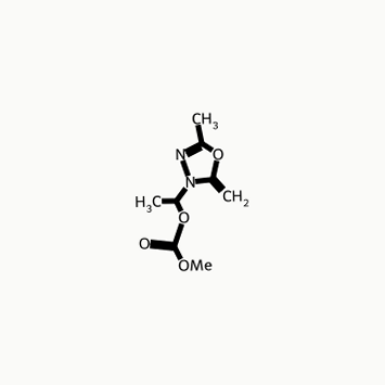 C=C1OC(C)=NN1C(C)OC(=O)OC